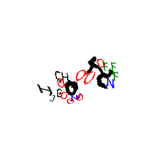 COc1cc(OC(=O)c2ccoc2-c2cccnc2C(F)(F)F)cc([N+](=O)[O-])c1OC